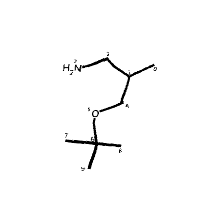 CC(CN)COC(C)(C)C